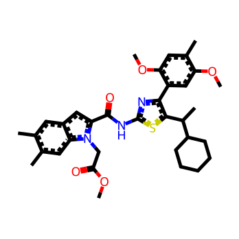 COC(=O)Cn1c(C(=O)Nc2nc(-c3cc(OC)c(C)cc3OC)c(C(C)C3CCCCC3)s2)cc2cc(C)c(C)cc21